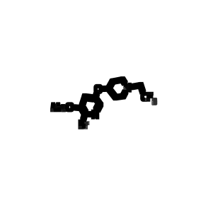 COc1cc(OC2CCN(CC(F)(F)F)CC2)cnc1Br